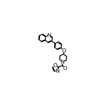 O=C(c1ncco1)N1CCC(Oc2ccc(-c3cnc4ccccc4c3)cc2)CC1